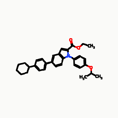 CCOC(=O)c1cc2cc(-c3ccc(C4CCCCC4)cc3)ccc2n1-c1ccc(OC(C)C)cc1